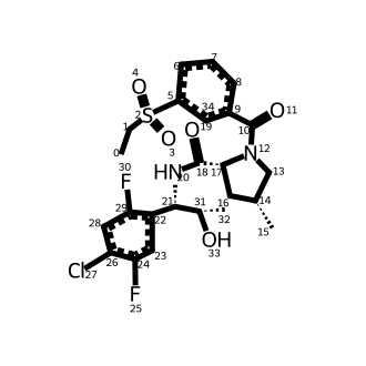 CCS(=O)(=O)c1cccc(C(=O)N2C[C@H](C)C[C@@H]2C(=O)N[C@@H](c2cc(F)c(Cl)cc2F)[C@H](C)O)c1